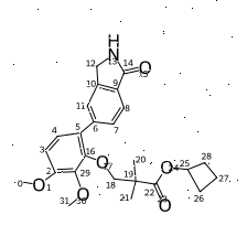 COc1ccc(-c2ccc3c(c2)CNC3=O)c(OCC(C)(C)C(=O)OC2CCC2)c1OC